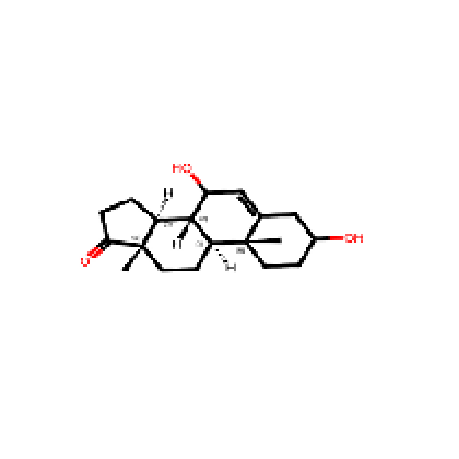 C[C@]12CCC(O)CC1=CC(O)[C@@H]1[C@@H]2CC[C@]2(C)C(=O)CC[C@@H]12